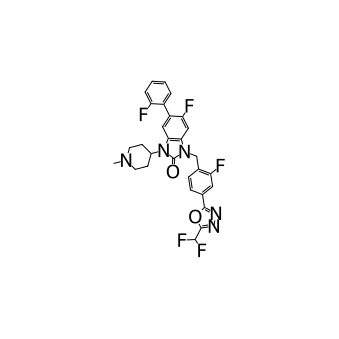 CN1CCC(n2c(=O)n(Cc3ccc(-c4nnc(C(F)F)o4)cc3F)c3cc(F)c(-c4ccccc4F)cc32)CC1